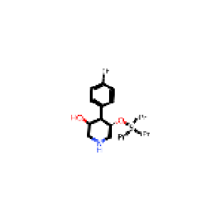 CCc1ccc(C2C(O)CNC[C@H]2O[Si](C(C)C)(C(C)C)C(C)C)cc1